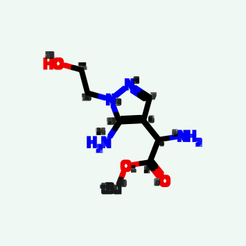 CC(C)(C)OC(=O)C(N)c1cnn(CCO)c1N